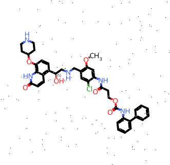 COc1cc(NC(=O)CCOC(=O)Nc2ccccc2-c2ccccc2)c(Cl)cc1CNC[C@@H](O)c1ccc(OC2CCNCC2)c2[nH]c(=O)ccc12